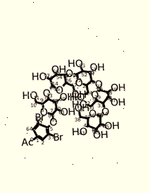 CC(=O)c1cc(Br)c(O[C@H]2OC(CO)C(O[C@H]3OC(CO)C(O[C@H]4OC(CO)C(O[C@H]5OC(CO)C(O[C@H]6OC(CO)C(O)[C@@H](O)C6O)[C@@H](O)C5O)[C@@H](O)C4O)[C@@H](O)C3O)[C@@H](O)C2O)c(Br)c1